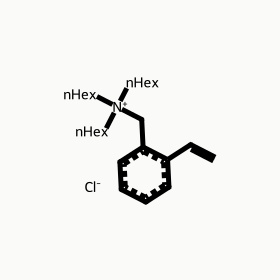 C=Cc1ccccc1C[N+](CCCCCC)(CCCCCC)CCCCCC.[Cl-]